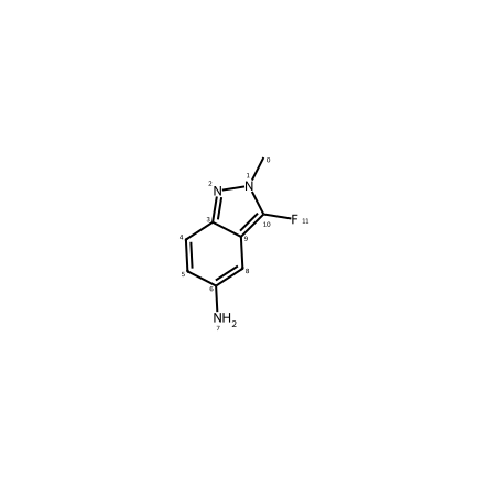 Cn1nc2ccc(N)cc2c1F